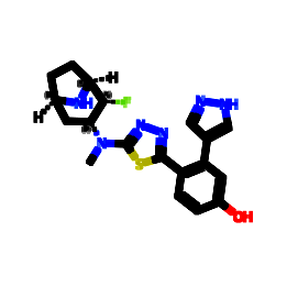 CN(c1nnc(-c2ccc(O)cc2-c2cn[nH]c2)s1)[C@@H]1C[C@H]2CC[C@H](N2)[C@@H]1F